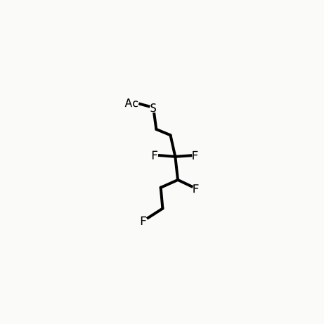 CC(=O)SCCC(F)(F)C(F)CCF